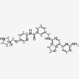 Nc1nccc(-c2cnc(NCc3cccc(C(=O)Nc4ccc(OC[C@]5(F)CCNC5)cn4)c3)c3c2OCC3)n1